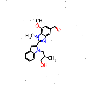 COc1cc(C=O)cc2nc(-c3cc4ccccc4n3CC(C)CO)n(C)c12